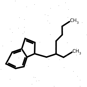 CCCCC(CC)CC1C=Cc2ccccc21